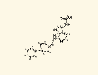 O=C(O)Nc1nnc2c(NCc3ccc(-c4ccccc4)cc3)nccn12